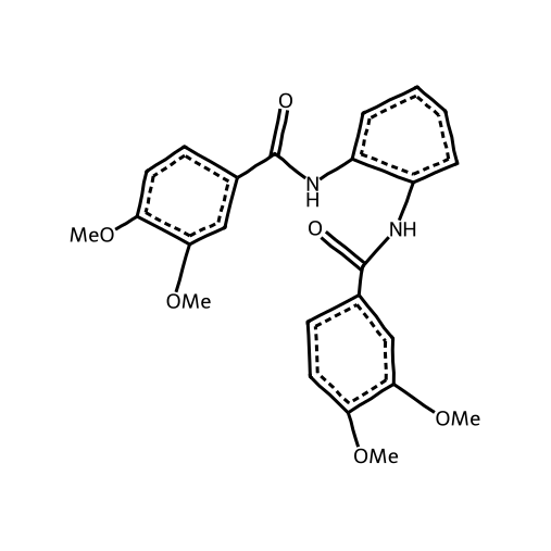 COc1ccc(C(=O)Nc2ccccc2NC(=O)c2ccc(OC)c(OC)c2)cc1OC